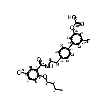 CCCCOc1ccc(Cl)cc1C(=O)NCCc1ccc(-c2cc(F)cc(OC(=O)O)c2)cc1